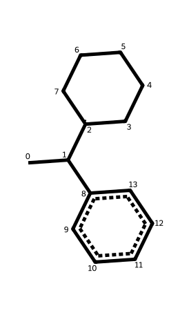 CC([C]1CCCCC1)c1ccccc1